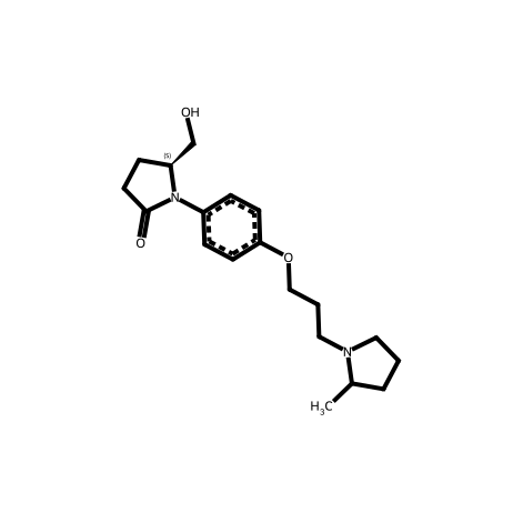 CC1CCCN1CCCOc1ccc(N2C(=O)CC[C@H]2CO)cc1